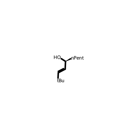 CCCCC[C@H](O)/C=C/C(C)(C)C